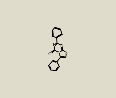 O=c1nc(-c2ccccc2)nc2scc(-c3ccccc3)n12